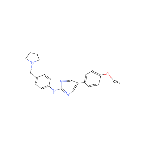 COc1ccc(-c2cnc(Nc3ccc(CN4CCCC4)cc3)nc2)cc1